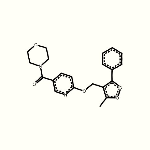 Cc1onc(-c2ccccc2)c1COc1ccc(C(=O)N2CCOCC2)cn1